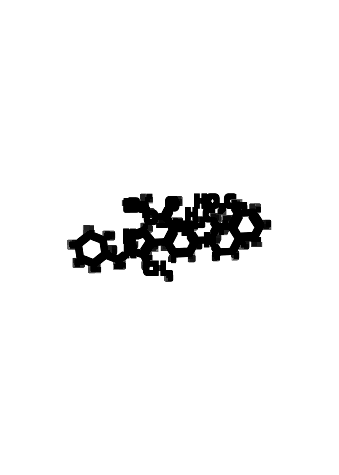 Cc1c(-c2ccc(N3CCc4cccc(C(=O)O)c4C3C)nc2C(=O)OC(C)(C)C)cnn1CC1CCCCC1